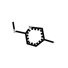 [CH2]c1ccc(SC)nc1